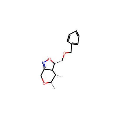 C[C@@H]1OCC2=NO[C@H](COCc3ccccc3)C2[C@@H]1C